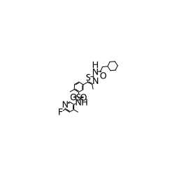 Cc1cc(F)ncc1NS(=O)(=O)c1cc(-c2sc(NC(=O)CC3CCCCC3)nc2C)ccc1C